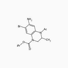 CC(=O)N1c2cc(N)c(Br)cc2N(C(=O)OC(C)C)CC1C